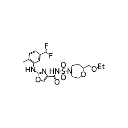 CCOCC1CCN(S(=O)(=O)NC(=O)c2coc(Nc3cc(C(F)F)ccc3C)n2)CCO1